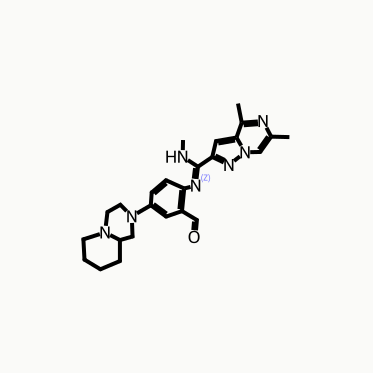 CN/C(=N\c1ccc(N2CCN3CCCCC3C2)cc1C=O)c1cc2c(C)nc(C)cn2n1